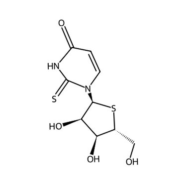 O=c1ccn([C@H]2S[C@H](CO)[C@@H](O)[C@H]2O)c(=S)[nH]1